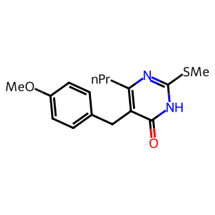 CCCc1nc(SC)[nH]c(=O)c1Cc1ccc(OC)cc1